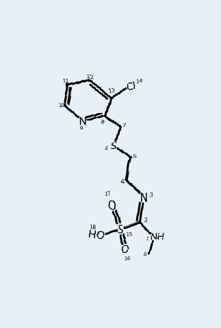 CNC(=NCCSCc1ncccc1Cl)S(=O)(=O)O